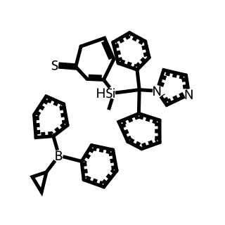 C[SiH](C1=CC(=S)CC=C1)C(c1ccccc1)(c1ccccc1)n1ccnc1.c1ccc(B(c2ccccc2)C2CC2)cc1